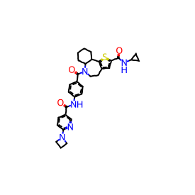 O=C(Nc1ccc(C(=O)N2CCc3cc(C(=O)NC4CC4)sc3C3CCCCC32)cc1)c1ccc(N2CCC2)nc1